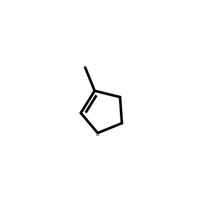 CC1=C[C]CC1